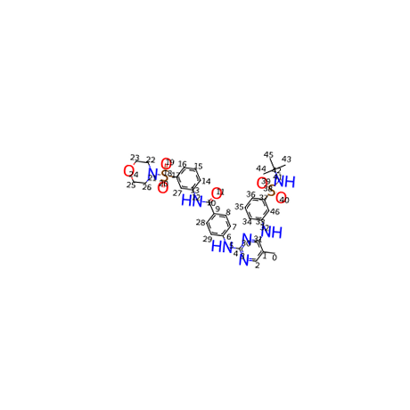 Cc1cnc(Nc2ccc(C(=O)Nc3cccc(S(=O)(=O)N4CCOCC4)c3)cc2)nc1Nc1cccc(S(=O)(=O)NC(C)(C)C)c1